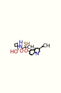 C#Cc1cnc2ccc(OC(C)(S)C(=O)NC3(CO)CCC3)cc2c1